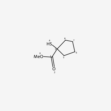 COC(=O)C1(S)CCCC1